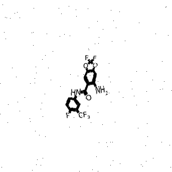 Nc1cc2c(cc1C(=O)Nc1ccc(F)c(C(F)(F)F)c1)OC(F)(F)O2